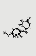 O=C1CCC(Nc2ccc(CBr)nc2F)C(=O)N1